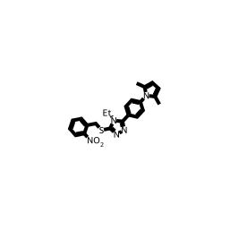 CCn1c(SCc2ccccc2[N+](=O)[O-])nnc1-c1ccc(-n2c(C)ccc2C)cc1